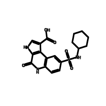 O=C(O)c1c[nH]c2c(=O)[nH]c3ccc(S(=O)(=O)NC4CCCCC4)cc3c12